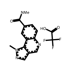 CNC(=O)c1ccc2ncc3cnn(C)c3c2c1.O=C(O)C(F)(F)F